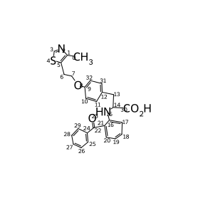 Cc1ncsc1CCOc1ccc(CC(Nc2ccccc2C(=O)c2ccccc2)C(=O)O)cc1